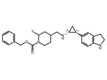 O=C(OCc1ccccc1)N1CCC(CN[C@@H]2C[C@H]2c2ccc3c(c2)CCN3)CC1F